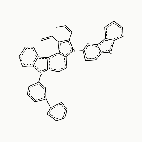 C=Cc1c(/C=C\C)n(-c2ccc3oc4ccccc4c3c2)c2ccc3c(c4ccccc4n3-c3cccc(-c4ccccc4)c3)c12